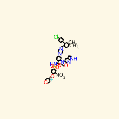 CC1(C)CCC(CN2CCN(c3ccc(C(=O)NS(=O)(=O)c4ccc(OCC5(F)CCOCC5)c([N+](=O)[O-])c4)c(N4CCOc5nc6[nH]ccc6cc54)c3)CC2)=C(c2ccc(Cl)cc2)C1